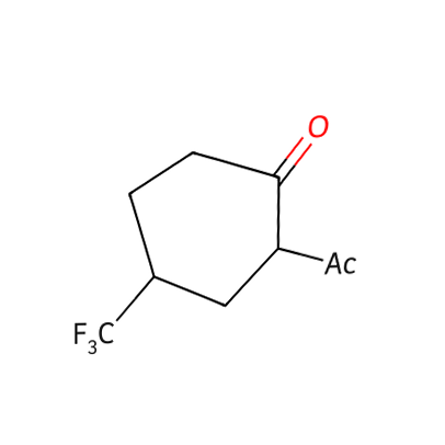 CC(=O)C1CC(C(F)(F)F)CCC1=O